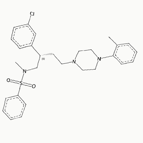 Cc1ccccc1N1CCN(CC[C@H](CN(C)S(=O)(=O)c2ccccc2)c2cccc(Cl)c2)CC1